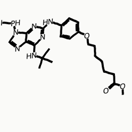 COC(=O)CCCCCCOc1ccc(Nc2nc(NC(C)(C)C)c3ncn(PI)c3n2)cc1